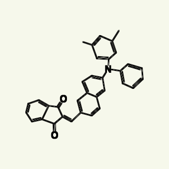 Cc1cc(C)cc(N(c2ccccc2)c2ccc3cc(C=C4C(=O)c5ccccc5C4=O)ccc3c2)c1